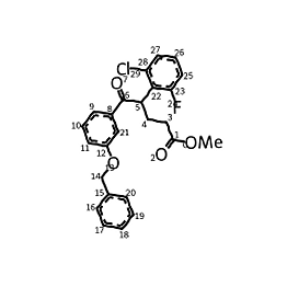 COC(=O)CCC(C(=O)c1cccc(OCc2ccccc2)c1)c1c(F)cccc1Cl